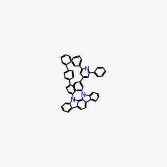 c1ccc(-c2ccc(-c3ccc(-n4c5ccccc5c5ccc6c7ccccc7n(-c7cccc(-c8cc(-c9ccccc9)nc(-c9ccccc9)c8)c7)c6c54)cc3)cc2)cc1